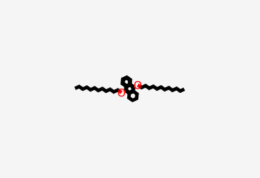 CCCCCCCCCCCCOc1c2c(c(OCCCCCCCCCCCC)c3ccccc13)CCCC2